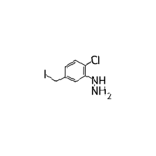 NNc1cc(CI)ccc1Cl